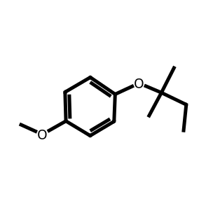 CCC(C)(C)Oc1ccc(OC)cc1